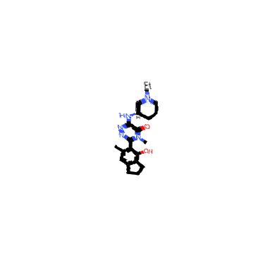 CCN1CCC[C@@H](Nc2nnc(-c3c(C)cc4c(c3O)CCC4)n(C)c2=O)C1